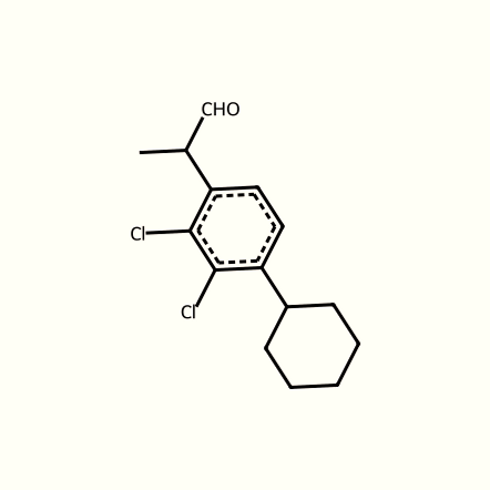 CC(C=O)c1ccc(C2CCCCC2)c(Cl)c1Cl